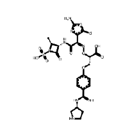 C[C@H]1[C@H](NC(=O)/C(=N\O[C@@H](COc2ccc(C(=N)N[C@H]3CCNC3)cc2)C(=O)O)c2nc(N)sc2Cl)C(=O)N1S(=O)(=O)O